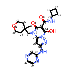 CC1(Cn2c(=O)c(C(=O)NC3CCC3)c(O)n3nc(Nc4cnccn4)cc23)CCOCC1